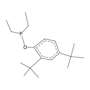 CCP(CC)Oc1ccc(C(C)(C)C)cc1C(C)(C)C